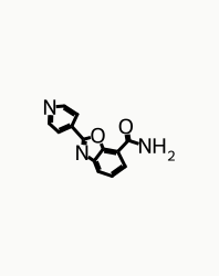 NC(=O)c1cccc2nc(-c3ccncc3)oc12